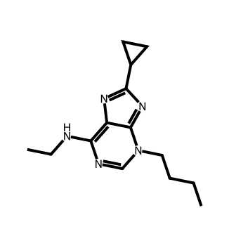 CCCCn1cnc(NCC)c2nc(C3CC3)nc1-2